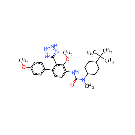 COc1ccc(-c2ccc(NC(=O)N(C)C3CCC(C(C)(C)C)CC3)c(OC)c2-c2nn[nH]n2)cc1